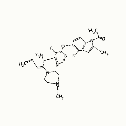 C=C/C=C(\C(N)c1ncnc(Oc2ccc3c(cc(C)n3C(C)=O)c2F)c1F)N1CCN(CC)CC1